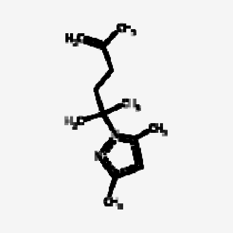 C=C(C)CCC(C)(C)n1nc(C)cc1C